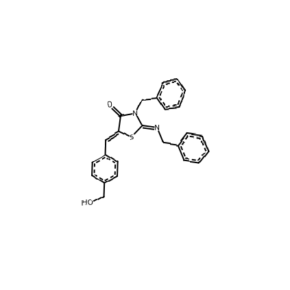 O=C1C(=Cc2ccc(CO)cc2)SC(=NCc2ccccc2)N1Cc1ccccc1